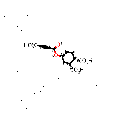 O=C(O)C#CC(=O)OC1=CC[C@H](C(=O)O)[C@@H](C(=O)O)C1